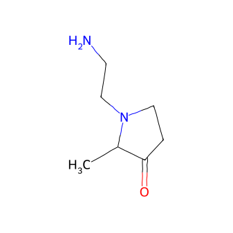 CC1C(=O)CCN1CCN